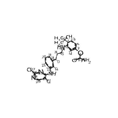 CC(C)(C)c1ccc(OC(N)=O)cc1NCCCc1cccc(Nc2nc(Cl)ncc2Cl)c1